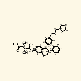 O=C(O)[C@@H](O)[C@H](O)C(=O)Oc1ccc2c(c1)CC[C@@H](c1ccccc1)[C@H]2c1ccc(OCCN2CCCC2)cc1